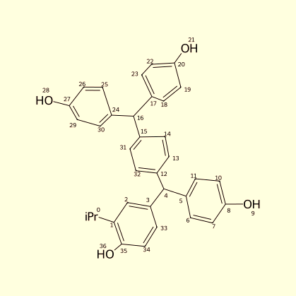 CC(C)c1cc(C(c2ccc(O)cc2)c2ccc(C(c3ccc(O)cc3)c3ccc(O)cc3)cc2)ccc1O